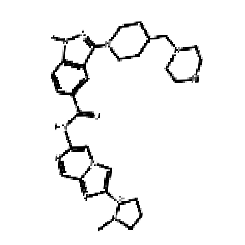 CN1CCC[C@@H]1c1cn2cc(NC(=O)c3ccc4c(c3)c(N3CCC(CN5CCNCC5)CC3)nn4C)ncc2n1